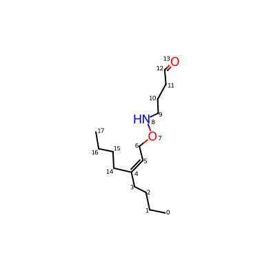 CCCCC(=CCONCCCC=O)CCCC